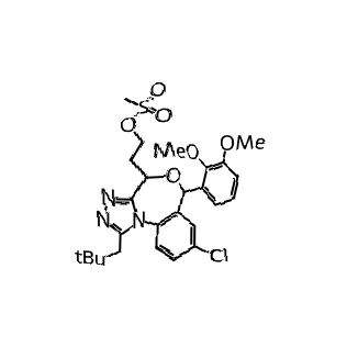 COc1cccc(C2OC(CCOS(C)(=O)=O)c3nnc(CC(C)(C)C)n3-c3ccc(Cl)cc32)c1OC